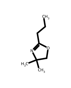 CCCC1=NC(C)(C)CO1